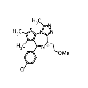 COCC[C@@H]1N=C(c2ccc(Cl)cc2)c2c(sc(C)c2C)-n2c(C)nnc21